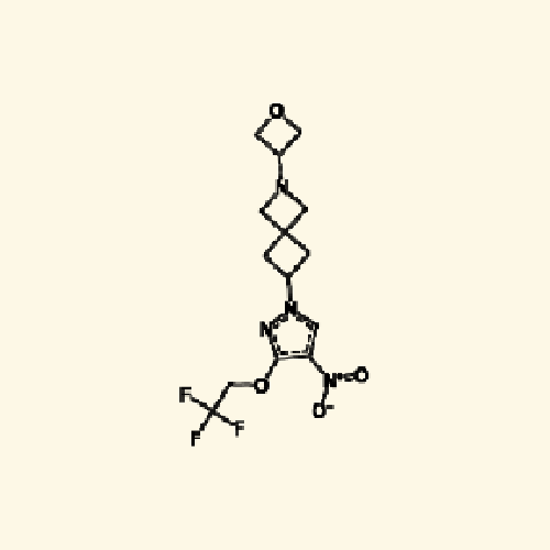 O=[N+]([O-])c1cn(C2CC3(C2)CN(C2COC2)C3)nc1OCC(F)(F)F